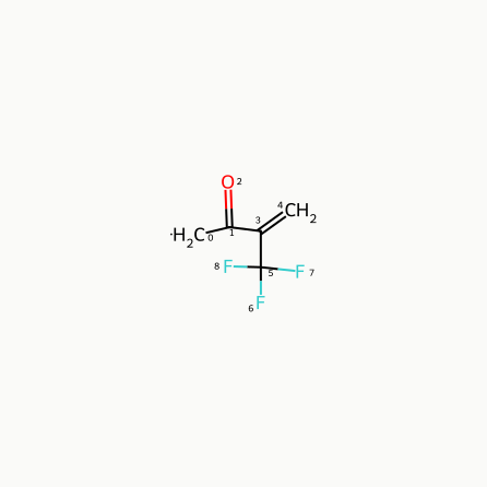 [CH2]C(=O)C(=C)C(F)(F)F